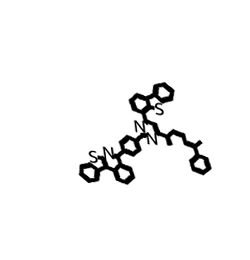 C=C(/C=C\C=C(/C)c1ccccc1)c1cc(-c2cccc3c2sc2ccccc23)nc(-c2ccc(-c3nc4sc5ccccc5c4c4ccccc34)cc2)n1